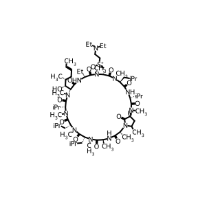 C/C=C/C[C@@H](C)[C@@H](O)[C@@H]1C(=O)N[C@H](CC)C(=O)N(C)[C@H](C[S+]([O-])CCN(CC)CC)C(=O)N(C)[C@@H](CC(C)C)C(=O)N[C@H](C(C)C)C(=O)N(C)[C@@H]2CC(C)N(C2=O)[C@H](C)C(=O)N[C@@H](C)C(=O)N(C)[C@H](CC(C)C)C(=O)N(C)[C@H](CC(C)C)C(=O)N(C)[C@H](C(C)C)C(=O)N1C